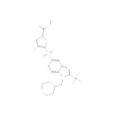 COC(=O)c1cc(C)c(S(=O)(=O)c2ccc3c(c2)nc(C(C)(C)C)n3CC2CCOCC2)s1